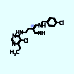 CCc1ncnc(NCC/C(C=N)=C/NCc2ccc(Cl)cc2)c1Cl